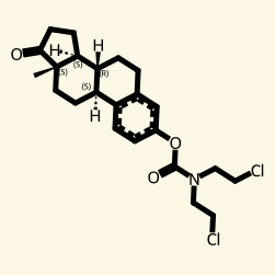 C[C@]12CC[C@@H]3c4ccc(OC(=O)N(CCCl)CCCl)cc4CC[C@H]3[C@@H]1CCC2=O